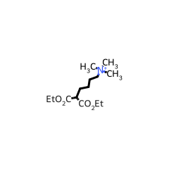 CCOC(=O)C(CCCC[N+](C)(C)C)C(=O)OCC